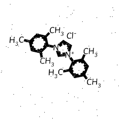 Cc1cc(C)c(-n2cc[n+](-c3c(C)cc(C)cc3C)c2)c(C)c1.[Cl-]